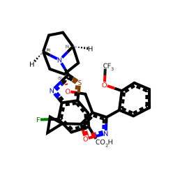 O=C(O)c1cc(F)c2nc(N3[C@@H]4CC[C@H]3C[C@H](OCc3c(-c5ccccc5OC(F)(F)F)noc3C3CC3)C4)sc2c1